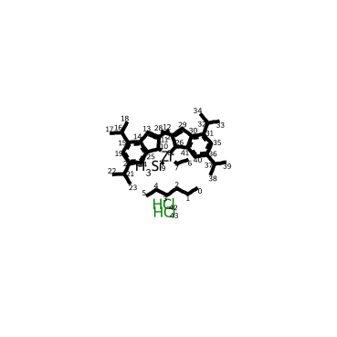 CCCCCC.C[CH2][Zr]([SiH3])([CH]1C(C)=Cc2c(C(C)C)cc(C(C)C)cc21)[CH]1C(C)=Cc2c(C(C)C)cc(C(C)C)cc21.Cl.Cl